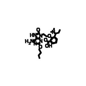 CCCCOc1nc(N)c2[nH]c(=O)n(CCOc3c(C(=O)O)cccc3C(CC)N(C)C)c2n1